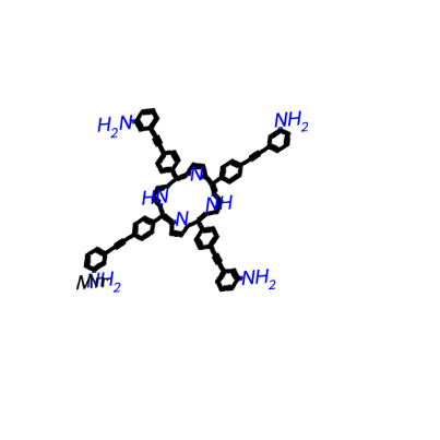 Nc1cccc(C#Cc2ccc(-c3c4nc(c(-c5ccc(C#Cc6cccc(N)c6)cc5)c5ccc([nH]5)c(-c5ccc(C#Cc6cccc(N)c6)cc5)c5nc(c(-c6ccc(C#Cc7cccc(N)c7)cc6)c6ccc3[nH]6)C=C5)C=C4)cc2)c1.[Mn]